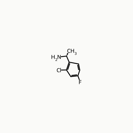 C[C@H](N)c1ccc(F)cc1Cl